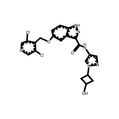 O=C(Nc1cnn(C2CC(O)C2)c1)c1n[nH]c2ccc(OCc3c(Cl)cncc3Cl)cc12